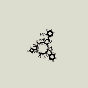 C[C@@H]1[C@H](NC(=O)c2ccccc2O)C(=O)N[C@@H](Cc2ccccc2)[C@@H](O)[C@@H](C)C(=O)NC(C2CCC2)C(=O)N1C